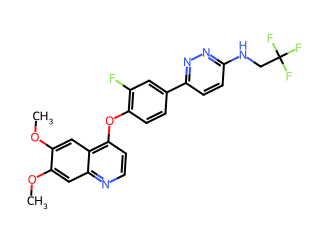 COc1cc2nccc(Oc3ccc(-c4ccc(NCC(F)(F)F)nn4)cc3F)c2cc1OC